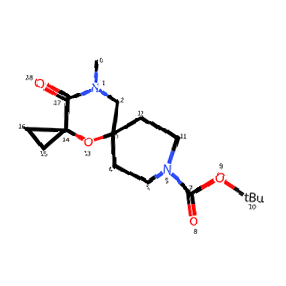 CN1CC2(CCN(C(=O)OC(C)(C)C)CC2)OC2(CC2)C1=O